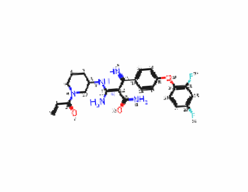 C=CC(=O)N1CCCC(N/C(N)=C(\C(=N)c2ccc(Oc3ccc(F)cc3F)cc2)C(N)=O)C1